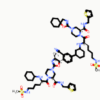 C[C@@H]1N=C(N2CCN(C(=O)[C@@H](CCCCNS(C)(=O)=O)NC3CCCCC3)[C@H](C(=O)NCc3cccs3)C2)O[C@H]1c1ccc(C2CCCC(N[C@H](CCCCNS(C)(=O)=O)C(=O)N3CCN(C4=NCC5(CCCCC5)O4)C[C@H]3C(=O)NCc3cccs3)C2)cc1C#N